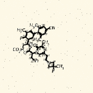 Cc1cc(-c2c(C)cc(C#N)cc2C)cc(C(CC(=O)O)NC(=O)C(CC(C)C)n2cc(CCN3CC(C)(F)C3)nc(C)c2=O)c1F